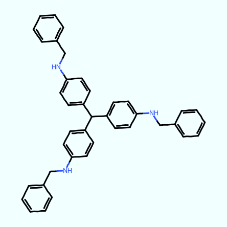 c1ccc(CNc2ccc(C(c3ccc(NCc4ccccc4)cc3)c3ccc(NCc4ccccc4)cc3)cc2)cc1